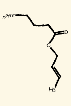 CCCCCCCCC(=O)OCC=CS